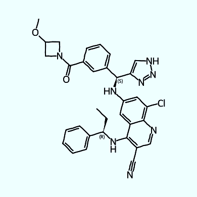 CC[C@@H](Nc1c(C#N)cnc2c(Cl)cc(N[C@@H](c3cccc(C(=O)N4CC(OC)C4)c3)c3c[nH]nn3)cc12)c1ccccc1